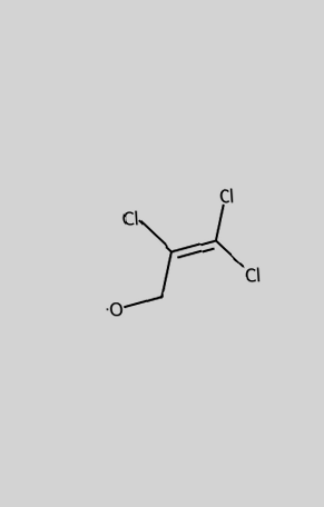 [O]CC(Cl)=C(Cl)Cl